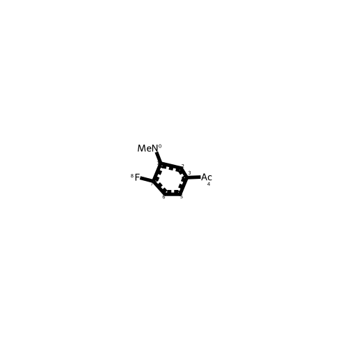 CNc1cc(C(C)=O)ccc1F